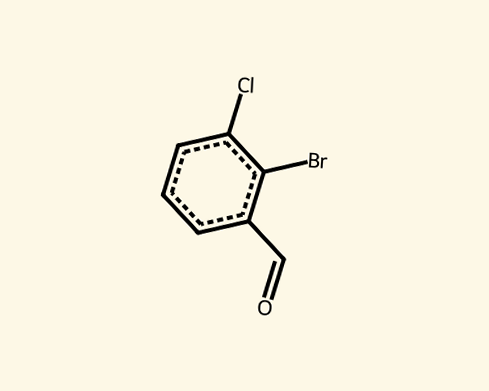 O=Cc1cccc(Cl)c1Br